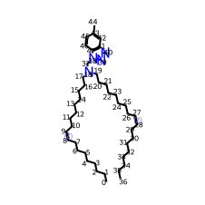 CCCCCCCC/C=C\CCCCCCCCN(CCCCCCCC/C=C\CCCCCCCC)Cn1nnc2cc(C)ccc21